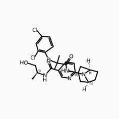 C[C@@H](CO)NC(=O)c1ccc(N2[C@@H]3CC[C@H]2C[C@@H](NC(=O)C(C)(C)Oc2ccc(Cl)cc2Cl)C3)nc1